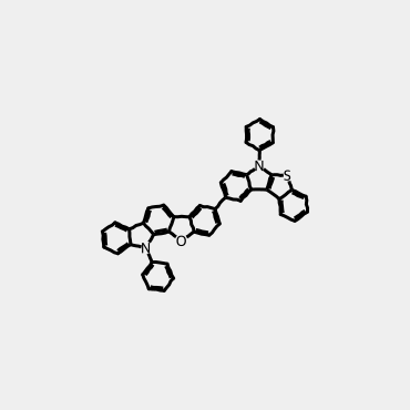 c1ccc(-n2c3ccc(-c4ccc5oc6c(ccc7c8ccccc8n(-c8ccccc8)c76)c5c4)cc3c3c4ccccc4sc32)cc1